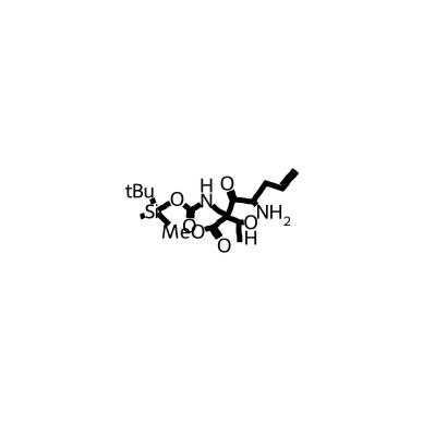 C=CCC(N)C(=O)C(NC(=O)O[Si](C)(C)C(C)(C)C)(C(=O)OC)C(C)O